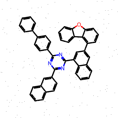 c1ccc(-c2ccc(-c3nc(-c4ccc5ccccc5c4)nc(-c4cc(-c5cccc6oc7ccccc7c56)cc5ccccc45)n3)cc2)cc1